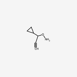 C#CC(ON)C1CC1